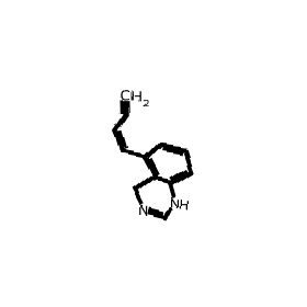 C=C/C=C\c1cccc2c1CN=CN2